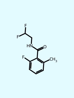 Cc1cccc(F)c1C(=O)NCC(F)F